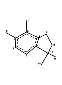 Cc1ccc2c(c1C)CCC2(C)C